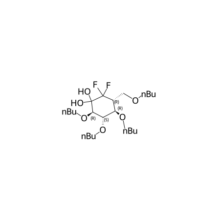 CCCCOC[C@@H]1[C@@H](OCCCC)[C@H](OCCCC)[C@@H](OCCCC)C(O)(O)C1(F)F